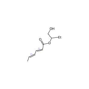 C/C=C/C=C/C(=O)OC(CC)CO